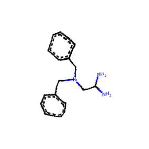 NC(N)CN(Cc1ccccc1)Cc1ccccc1